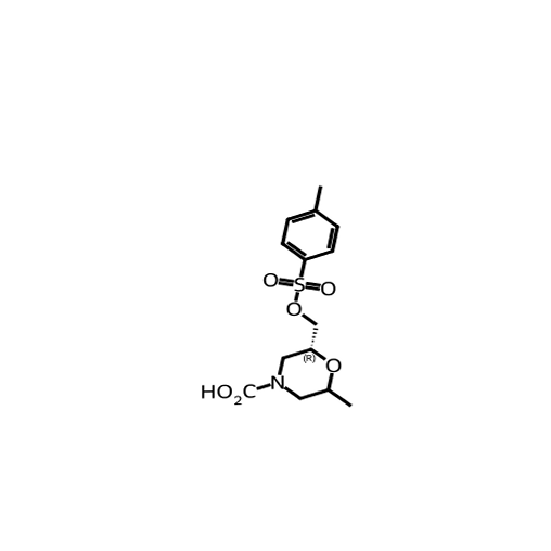 Cc1ccc(S(=O)(=O)OC[C@H]2CN(C(=O)O)CC(C)O2)cc1